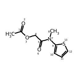 CC(=O)OCC(=O)N(C)c1cccs1